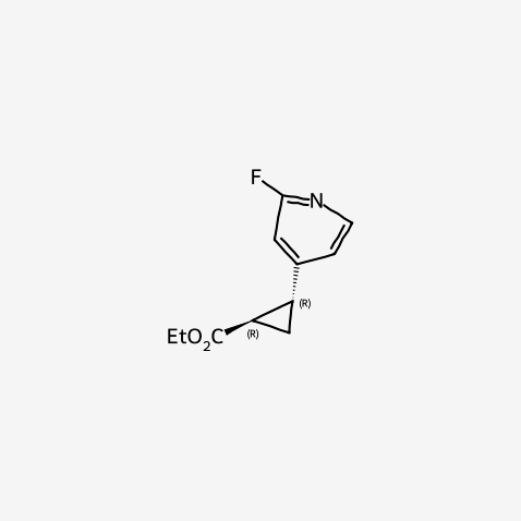 CCOC(=O)[C@@H]1C[C@H]1c1ccnc(F)c1